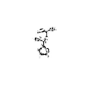 CCCCC(=O)OC(S)c1ccco1